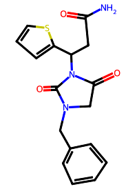 NC(=O)CC(c1cccs1)N1C(=O)CN(Cc2ccccc2)C1=O